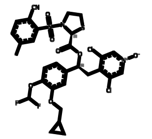 Cc1ccc(C#N)c(S(=O)(=O)N2CCS[C@H]2C(=O)O[C@@H](Cc2c(Cl)c[n+]([O-])cc2Cl)c2ccc(OC(F)F)c(OCC3CC3)c2)c1